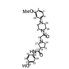 COc1cccc(N2CCN(C(=O)CN3CCC(C(=O)Nc4ccc(O)cc4)C3)CC2)c1